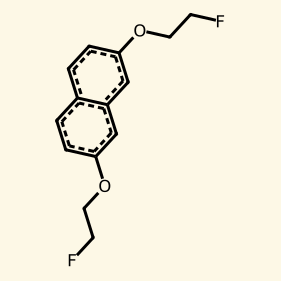 FCCOc1ccc2ccc(OCCF)cc2c1